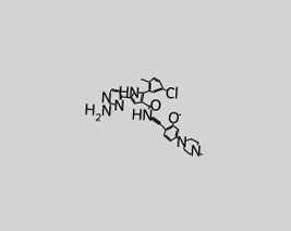 COc1cc(N2CCN(C)CC2)ccc1C#CNC(=O)c1cc(-c2ccnc(N)n2)[nH]c1-c1cc(Cl)ccc1C